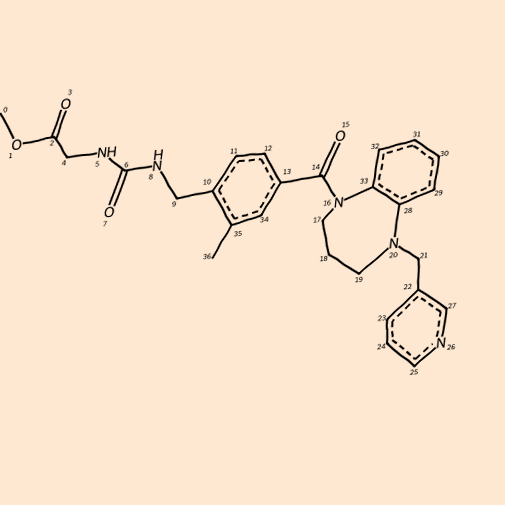 COC(=O)CNC(=O)NCc1ccc(C(=O)N2CCCN(Cc3cccnc3)c3ccccc32)cc1C